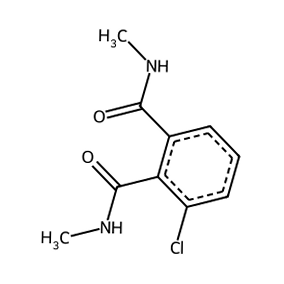 CNC(=O)c1cccc(Cl)c1C(=O)NC